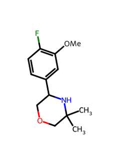 COc1cc(C2COCC(C)(C)N2)ccc1F